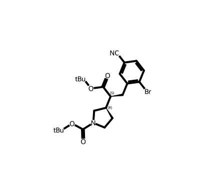 CC(C)(C)OC(=O)[C@@H](Cc1cc(C#N)ccc1Br)[C@H]1CCN(C(=O)OC(C)(C)C)C1